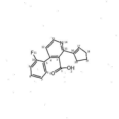 O=C(O)c1c(-c2ccccc2F)ccnc1C1=CCCC1